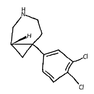 Clc1ccc(C23CCNC[C@H]2C3)cc1Cl